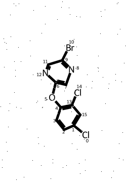 Clc1ccc(Oc2cnc(Br)cn2)c(Cl)c1